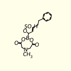 CN1CC(=O)OB(C(C=CCCc2ccccc2)OS(=O)(=O)O)OC(=O)C1